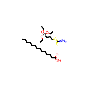 CCCCCCCCCCCCCC(=O)O.CCO[Si](CCCSC(N)=S)(OCC)OCC